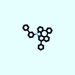 c1ccc(-c2cccc(-n3c4cccc5c4c4c6c(cccc6c(-c6ccccc6)cc43)-c3ccccc3-5)c2)cc1